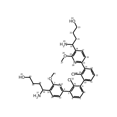 COc1nc(-c2cccc(-c3cccc(-c4ccc(C(N)CCCO)c(OC)n4)c3Cl)c2Cl)ccc1C(N)CCCO